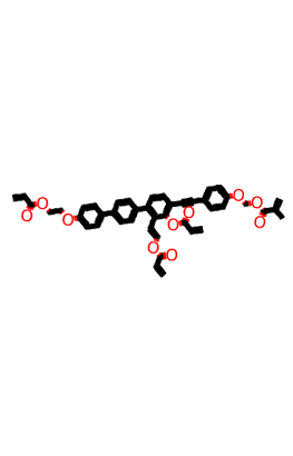 C=CC(=O)O/C=C/c1c(-c2ccc(-c3ccc(OCCOC(=O)C=C)cc3)cc2)ccc(C#Cc2ccc(OCOC(=O)C(=C)C)cc2)c1OC(=O)C=C